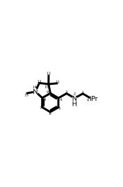 CC(C)CNCc1cccc2c1C(C)(C)CN2C